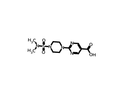 CN(C)S(=O)(=O)N1CCN(c2ncc(C(=O)O)cn2)CC1